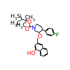 CC([SiH3])C(C)(C)OC(=O)N1CCC(c2ccc(F)cc2)C(OCc2cc(O)c3ccccc3c2)C1